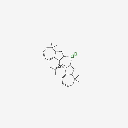 C[C](C)=[Zr+2]([CH]1C2=CC=CCC(C)(C)C2CC1C)[CH]1C2=CC=CCC(C)(C)C2CC1C.[Cl-].[Cl-]